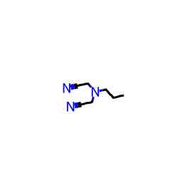 CCCN(CC#N)CC#N